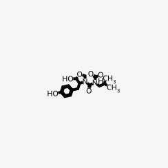 CC(C)CN(C(=O)O)C(=O)N1COC(O)C1Cc1ccc(O)cc1